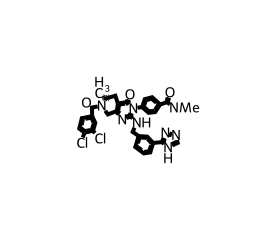 CNC(=O)c1ccc(-n2c(NCc3cccc(-c4nnc[nH]4)c3)nc3c(c2=O)C[C@@H](C)N(C(=O)c2ccc(Cl)c(Cl)c2)C3)cc1